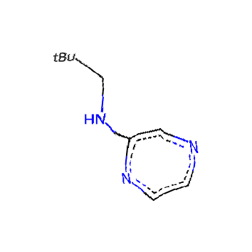 CC(C)(C)CNc1cnccn1